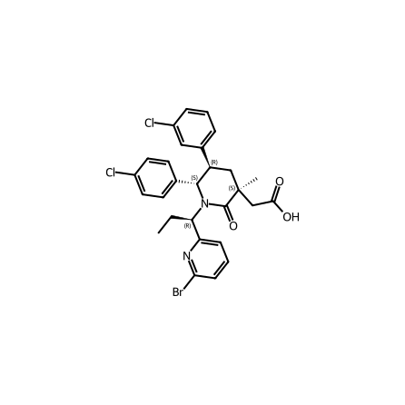 CC[C@H](c1cccc(Br)n1)N1C(=O)[C@](C)(CC(=O)O)C[C@H](c2cccc(Cl)c2)[C@H]1c1ccc(Cl)cc1